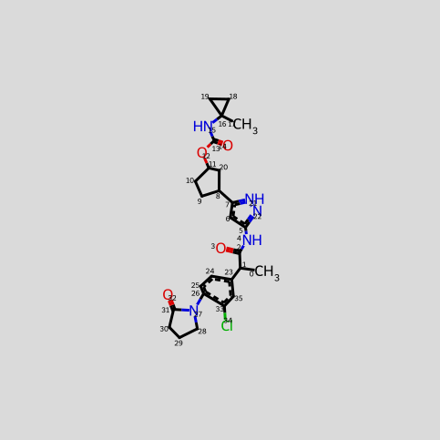 CC(C(=O)Nc1cc(C2CCC(OC(=O)NC3(C)CC3)C2)[nH]n1)c1ccc(N2CCCC2=O)c(Cl)c1